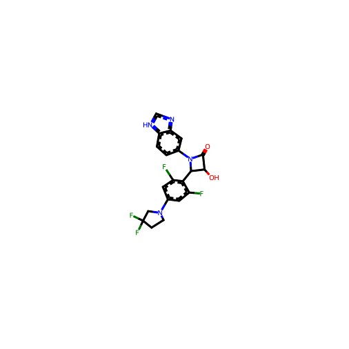 O=C1C(O)C(c2c(F)cc(N3CCC(F)(F)C3)cc2F)N1c1ccc2[nH]cnc2c1